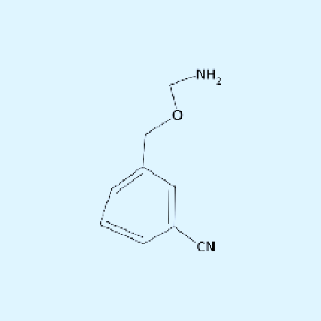 N#Cc1cccc(COCN)c1